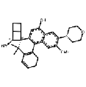 CCC[C@H]1C2CCC2[C@@]12c1cc(O)c3cc(N4CCOCC4)c(OC)cc3c1C1=C(C=CCC1)C2(C)C